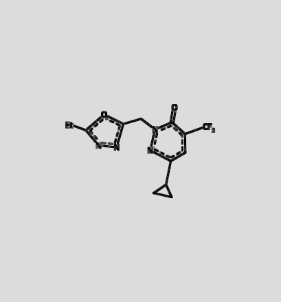 CCc1nnc(Cn2nc(C3CC3)cc(C(F)(F)F)c2=O)o1